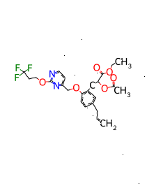 C=CCc1ccc(OCc2ccnc(OCCC(F)(F)F)n2)c(CC(OC(C)=O)C(=O)OCC)c1